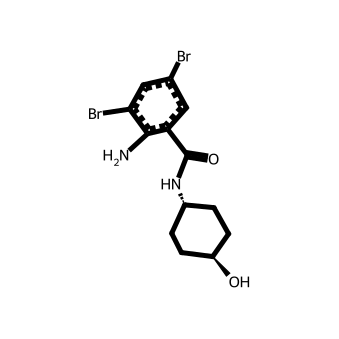 Nc1c(Br)cc(Br)cc1C(=O)N[C@H]1CC[C@H](O)CC1